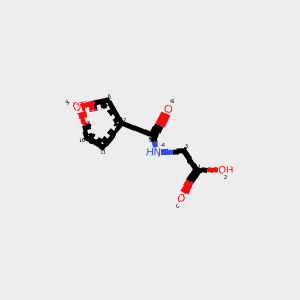 O=C(O)CNC(=O)c1[c]occ1